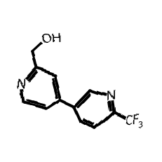 OCc1cc(-c2ccc(C(F)(F)F)nc2)ccn1